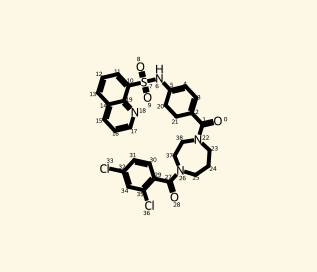 O=C(C1=CC=C(NS(=O)(=O)c2cccc3cccnc23)CC1)N1CCCN(C(=O)c2ccc(Cl)cc2Cl)CC1